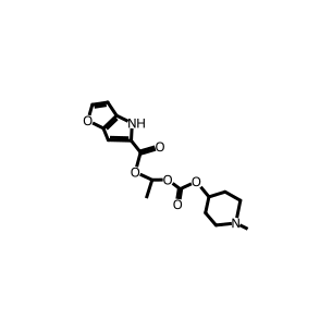 CC(OC(=O)OC1CCN(C)CC1)OC(=O)c1cc2occc2[nH]1